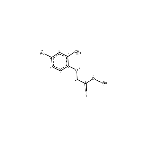 CCCCOC(=O)COc1ccc(C(C)=O)cc1C